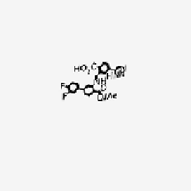 COC(=O)c1ccc(-c2ccc(F)c(F)c2)cc1NCc1cc(-c2cnn[nH]2)ccc1C(=O)O